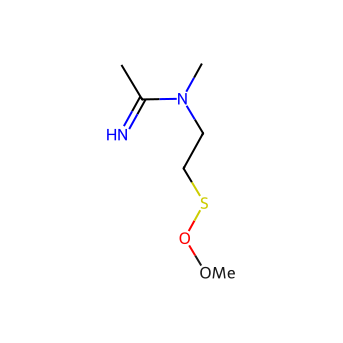 COOSCCN(C)C(C)=N